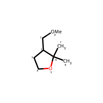 COCC1CCOC1(C)C